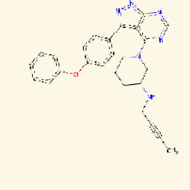 CC#CCN[C@@H]1CCCN(c2ncnc3[nH]nc(-c4ccc(Oc5ccccc5)cc4)c23)C1